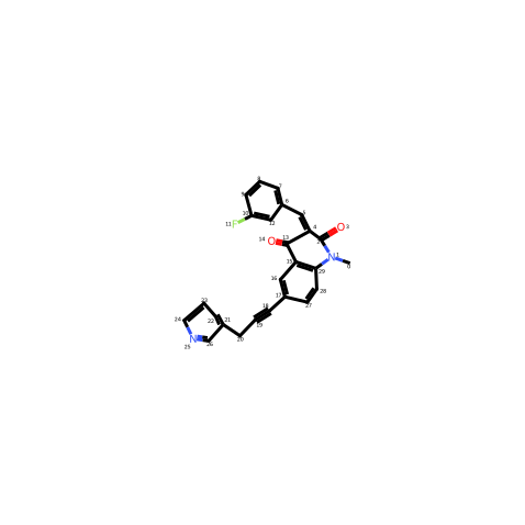 CN1C(=O)/C(=C/c2cccc(F)c2)C(=O)c2cc(C#CCc3cccnc3)ccc21